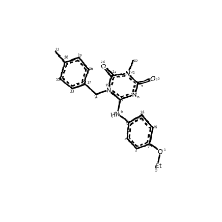 CCOc1ccc(Nc2nc(=O)n(C)c(=O)n2Cc2ccc(C)cc2)cc1